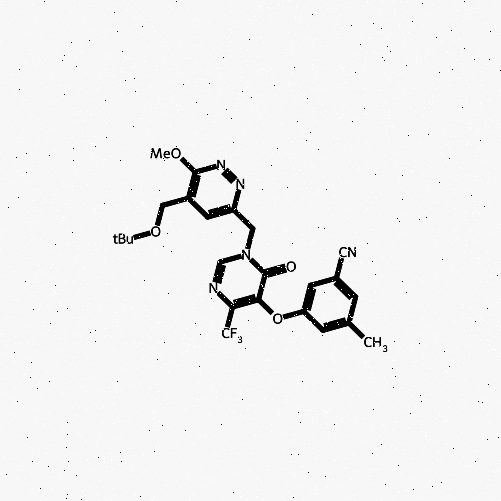 COc1nnc(Cn2cnc(C(F)(F)F)c(Oc3cc(C)cc(C#N)c3)c2=O)cc1COC(C)(C)C